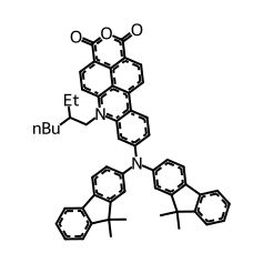 CCCCC(CC)Cn1c2cc(N(c3ccc4c(c3)C(C)(C)c3ccccc3-4)c3ccc4c(c3)C(C)(C)c3ccccc3-4)ccc2c2ccc3c(=O)oc(=O)c4ccc1c2c34